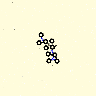 Cc1cc(-n2c3ccccc3c3c2ccc2c4ccccc4n(-c4ccccc4)c23)cc([Si](c2ccccc2)(c2ccccc2)c2ccc3c(c2)c2ccccc2n3-c2ccccc2)c1